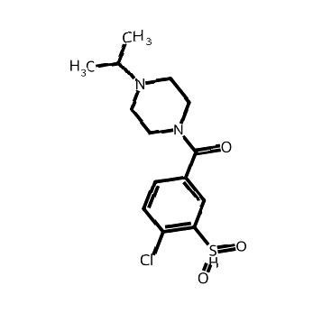 CC(C)N1CCN(C(=O)c2ccc(Cl)c([SH](=O)=O)c2)CC1